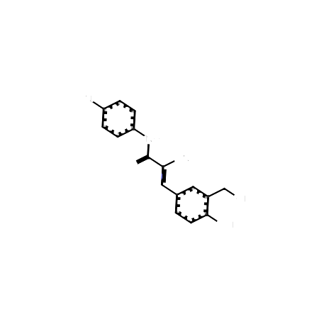 N#C/C(=C\c1ccc(O)c(CO)c1)C(=O)Nc1ccc(N)cc1